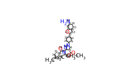 CCOC(=O)c1cn(-c2ccc(-c3cc4ccc(N)cc4o3)cc2)nc1N(C(=O)[C@H]1CC[C@H](C)CC1)C(C)C